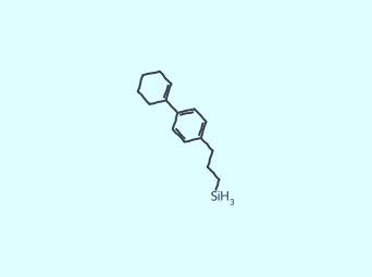 [SiH3]CCCc1ccc(C2=CCCCC2)cc1